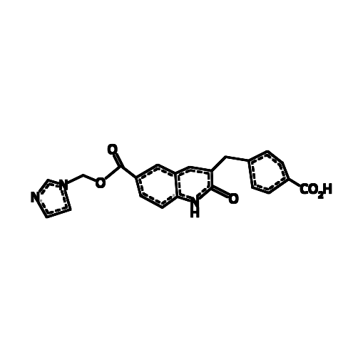 O=C(O)c1ccc(Cc2cc3cc(C(=O)OCn4ccnc4)ccc3[nH]c2=O)cc1